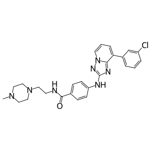 CN1CCN(CCNC(=O)c2ccc(Nc3nc4c(-c5cccc(Cl)c5)cccn4n3)cc2)CC1